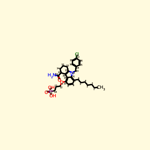 CCCCCCCc1ccc(OCCCP(=O)(O)O)c2c3c(n(Cc4ccc(Cl)cc4)c12)CCCC3C(N)=O